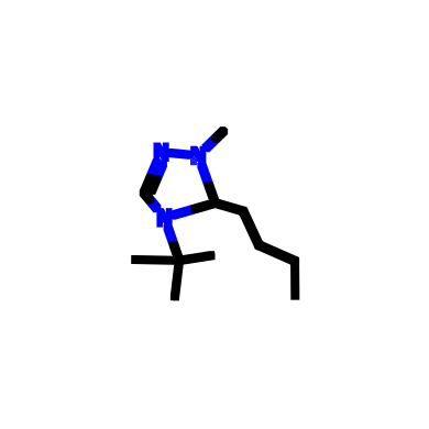 CCCCC1N(C)N=CN1C(C)(C)C